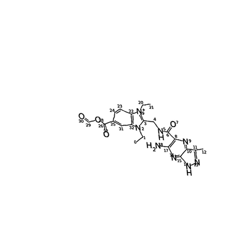 CCn1c(CNC(=O)c2nc3c(C)n[nH]c3nc2N)[n+](CC)c2ccc(C(=O)OC=O)cc21